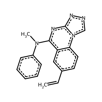 C=Cc1ccc2c(c1)c(N(C)c1ccccc1)nc1nncn12